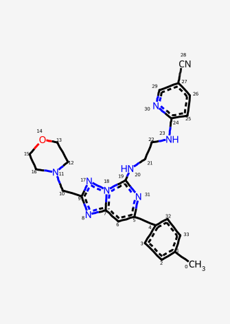 Cc1ccc(-c2cc3nc(CN4CCOCC4)nn3c(NCCNc3ccc(C#N)cn3)n2)cc1